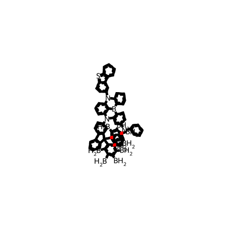 Bc1c(B)c(B)c(C2(c3c(B)c(B)c(B)c(B)c3B)c3ccccc3-c3ccc(N4c5cc(N(c6ccccc6)c6ccccc6)ccc5B5c6ccccc6N(c6ccc7sc8ccccc8c7c6)c6cccc4c65)cc32)c(B)c1B